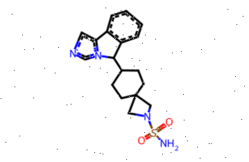 NS(=O)(=O)N1CC2(CCC(C3c4ccccc4-c4cncn43)CC2)C1